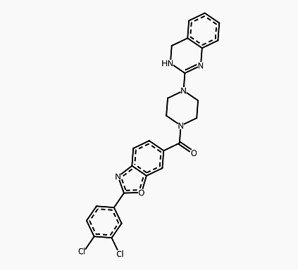 O=C(c1ccc2nc(-c3ccc(Cl)c(Cl)c3)oc2c1)N1CCN(C2=Nc3ccccc3CN2)CC1